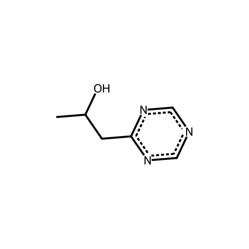 CC(O)Cc1ncncn1